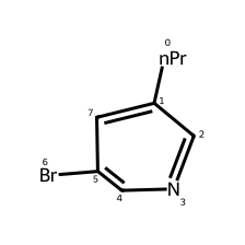 [CH2]CCc1cncc(Br)c1